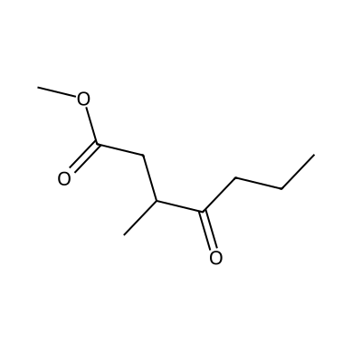 CCCC(=O)C(C)CC(=O)OC